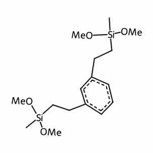 CO[Si](C)(CCc1cccc(CC[Si](C)(OC)OC)c1)OC